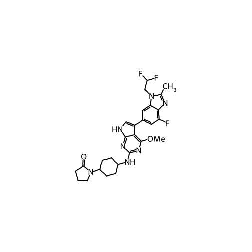 COc1nc(NC2CCC(N3CCCC3=O)CC2)nc2[nH]cc(-c3cc(F)c4nc(C)n(CC(F)F)c4c3)c12